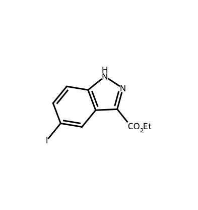 CCOC(=O)c1n[nH]c2ccc(I)cc12